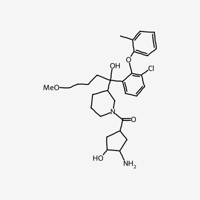 COCCCCC(O)(c1cccc(Cl)c1Oc1ccccc1C)C1CCCN(C(=O)C2CC(N)C(O)C2)C1